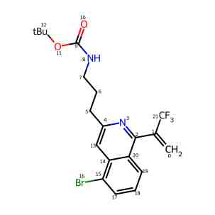 C=C(c1nc(CCCNC(=O)OC(C)(C)C)cc2c(Br)cccc12)C(F)(F)F